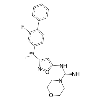 C[C@H](c1ccc(-c2ccccc2)c(F)c1)c1cc(NC(=N)N2CCOCC2)on1